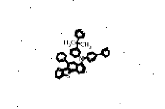 CC(C)(c1ccccc1)c1cccc(N(c2ccc(-c3ccccc3)cc2)c2cccc3c2cc(-c2ccccc2)c2c4ccccc4sc32)c1